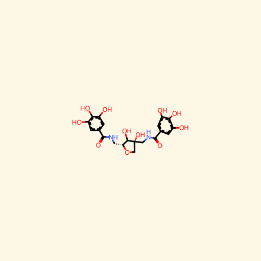 O=C(NC[C@H]1OC[C@@](O)(CNC(=O)c2cc(O)c(O)c(O)c2)C1O)c1cc(O)c(O)c(O)c1